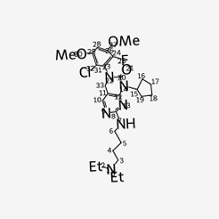 CCN(CC)CCCCNc1ncc2c(n1)N(C1CCCC1)C(=O)N(c1c(F)c(OC)cc(OC)c1Cl)C2